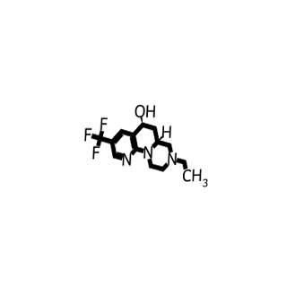 CCN1CCN2c3ncc(C(F)(F)F)cc3[C@H](O)C[C@H]2C1